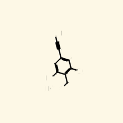 CC#Cc1cc(CC)c(CC(=O)O)c(CC)c1